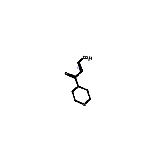 O=C(O)/C=C/C(=O)N1CC[N]CC1